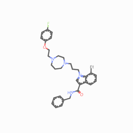 CCc1cccc2c(C(=O)NCc3ccccc3)cn(CCCN3CCCN(CCOc4ccc(F)cc4)CC3)c12